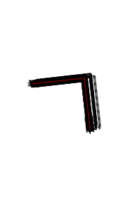 [O-2].[O-2].[O-2].[O-2].[O-2].[O-2].[O-2].[O-2].[O-2].[O-2].[O-2].[O-2].[O-2].[O-2].[O-2].[O-2].[O-2].[O-2].[O-2].[O-2].[O-2].[O-2].[O-2].[O-2].[O-2].[O-2].[O-2].[O-2].[O-2].[O-2].[O-2].[O-2].[O-2].[O-2].[O-2].[O-2].[O-2].[O-2].[O-2].[O-2].[O-2].[O-2].[O-2].[O-2].[O-2].[O-2].[O-2].[O-2].[O-2].[O-2].[O-2].[O-2].[O-2].[O-2].[O-2].[O-2].[O-2].[O-2].[O-2].[O-2].[O-2].[O-2].[O-2].[O-2].[O-2].[O-2].[O-2].[O-2].[O-2].[O-2].[O-2].[O-2].[O-2].[O-2].[O-2].[O-2].[O-2].[O-2].[O-2].[O-2].[O-2].[O-2].[O-2].[O-2].[O-2].[O-2].[O-2].[O-2].[O-2].[O-2].[O-2].[O-2].[O-2].[O-2].[O-2].[O-2].[O-2].[O-2].[O-2].[O-2].[O-2].[O-2].[O-2].[O-2].[O-2].[O-2].[O-2].[O-2].[O-2].[O-2].[O-2].[O-2].[O-2].[O-2].[O-2].[O-2].[O-2].[O-2].[O-2].[O-2].[O-2].[O-2].[O-2].[O-2].[O-2].[O-2].[O-2].[O-2].[O-2].[O-2].[Y+3].[Y+3].[Y+3].[Y+3].[Y+3].[Y+3]